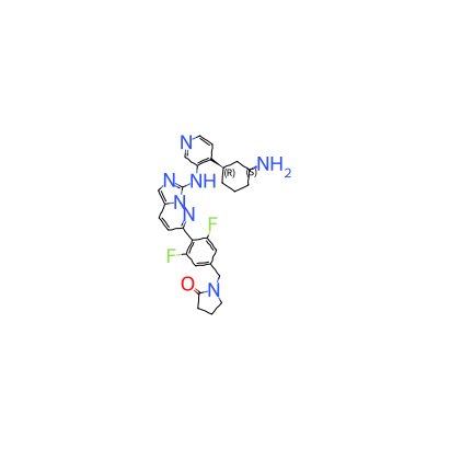 N[C@H]1CCC[C@@H](c2ccncc2Nc2ncc3ccc(-c4c(F)cc(CN5CCCC5=O)cc4F)nn23)C1